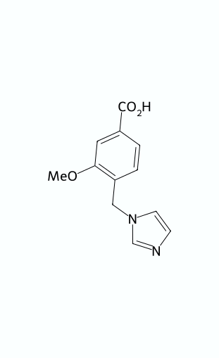 COc1cc(C(=O)O)ccc1Cn1ccnc1